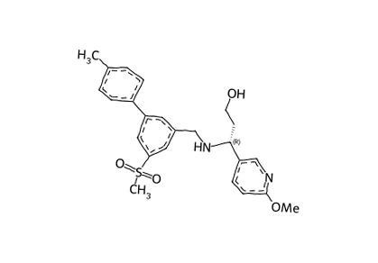 COc1ccc([C@@H](CCO)NCc2cc(-c3ccc(C)cc3)cc(S(C)(=O)=O)c2)cn1